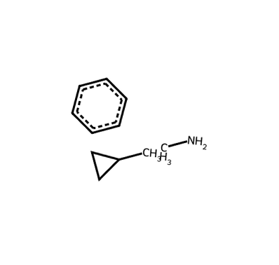 CC1CC1.CN.c1ccccc1